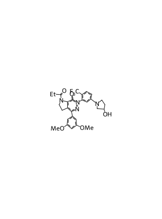 CCC(=O)N1CCc2c(-c3cc(OC)cc(OC)c3)nn(-c3cc(N4CCC(O)C4)ccc3C(F)(F)F)c(=O)c21